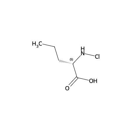 CCC[C@H](NCl)C(=O)O